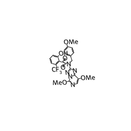 COc1ccc(CN(c2nc3c(OC)cnc(OC)n3n2)S(=O)(=O)c2c(O)cccc2C(F)(F)F)cc1